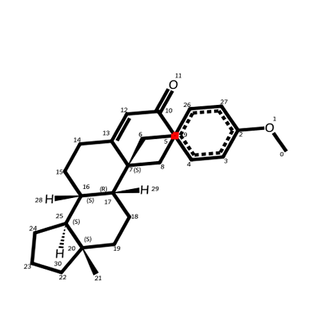 COc1ccc(C[C@]23CCC(=O)C=C2CC[C@@H]2[C@H]3CC[C@]3(C)CCC[C@@H]23)cc1